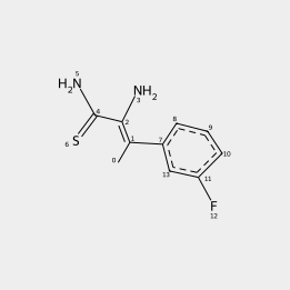 C/C(=C(/N)C(N)=S)c1cccc(F)c1